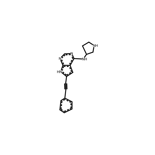 C(#Cc1cc2c(NC3CCNC3)ncnc2[nH]1)c1ccccc1